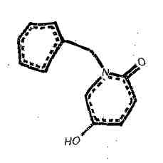 O=c1ccc(O)cn1Cc1ccccc1